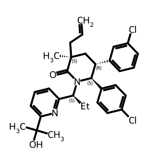 C=CC[C@@]1(C)C[C@H](c2cccc(Cl)c2)[C@@H](c2ccc(Cl)cc2)N([C@@H](CC)c2cccc(C(C)(C)O)n2)C1=O